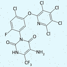 Nc1c(C(F)(F)F)[nH]c(=O)n(-c2cc(Oc3nc(Cl)c(Cl)c(Cl)c3Cl)c(Cl)cc2F)c1=O